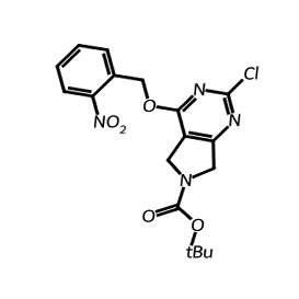 CC(C)(C)OC(=O)N1Cc2nc(Cl)nc(OCc3ccccc3[N+](=O)[O-])c2C1